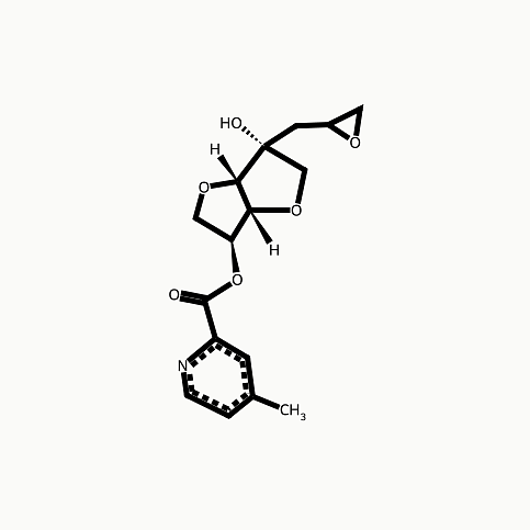 Cc1ccnc(C(=O)O[C@H]2CO[C@H]3[C@@H]2OC[C@]3(O)CC2CO2)c1